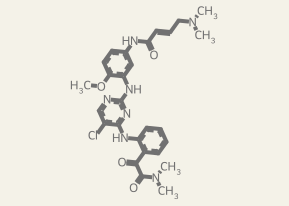 COc1ccc(NC(=O)C=CCN(C)C)cc1Nc1ncc(Cl)c(Nc2ccccc2C(=O)C(=O)N(C)C)n1